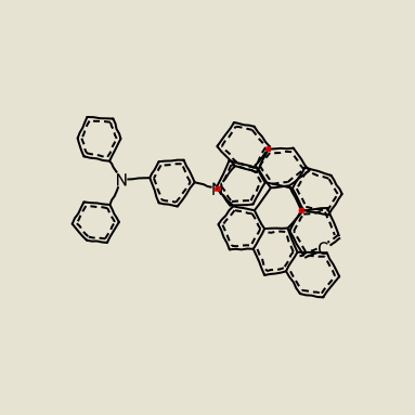 c1ccc(-c2ccccc2-c2c(N(c3ccccc3)c3ccc(N(c4ccccc4)c4ccccc4)cc3)ccc3cc4ccccc4c(-c4ccccc4-c4ccccc4)c23)cc1